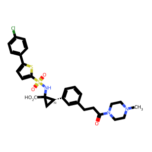 CN1CCN(C(=O)CCc2cccc([C@@H]3CC3(NS(=O)(=O)c3ccc(-c4ccc(Cl)cc4)s3)C(=O)O)c2)CC1